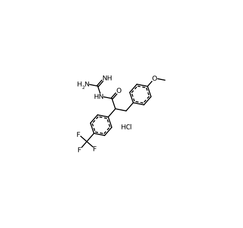 COc1ccc(CC(C(=O)NC(=N)N)c2ccc(C(F)(F)F)cc2)cc1.Cl